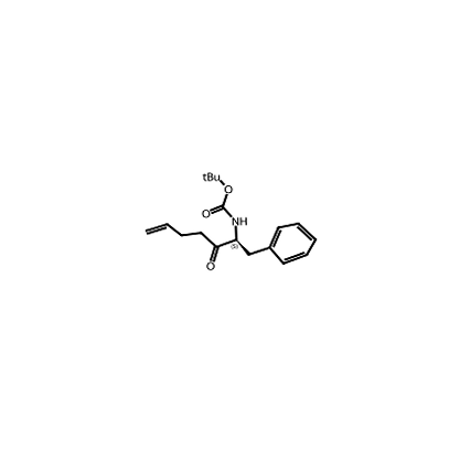 C=CCCC(=O)[C@H](Cc1ccccc1)NC(=O)OC(C)(C)C